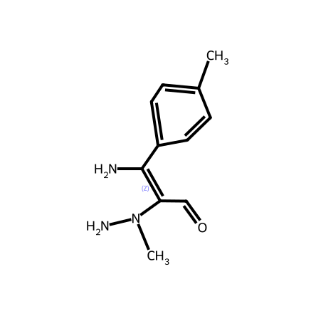 Cc1ccc(/C(N)=C(\C=O)N(C)N)cc1